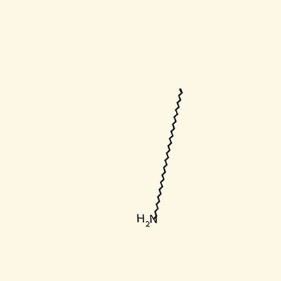 C=CCCCCCCCCCCCCCCCCCCCCCCCCCCCCCCCCCCN